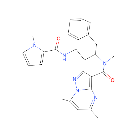 Cc1cc(C)n2ncc(C(=O)N(C)C(CCNC(=O)c3cccn3C)Cc3ccccc3)c2n1